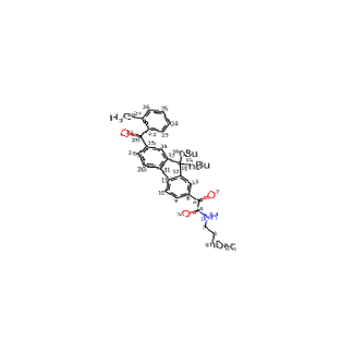 CCCCCCCCCCCCNC(=O)C(=O)c1ccc2c(c1)C(CCCC)(CCCC)c1cc(C(=O)c3ccccc3C)ccc1-2